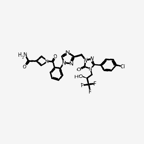 NC(=O)C1CN(C(=O)c2ccccc2-n2cnc(Cn3nc(-c4ccc(Cl)cc4)n(C[C@H](O)C(F)(F)F)c3=O)n2)C1